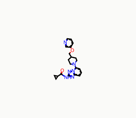 O=C(Nc1nc2cccc(N3CCC(COc4cccnc4)CC3)n2n1)C1CC1